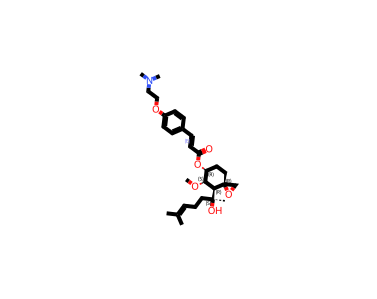 CO[C@@H]1[C@H](OC(=O)/C=C/c2ccc(OCCN(C)C)cc2)CC[C@]2(CO2)[C@H]1[C@@](C)(O)CCC=C(C)C